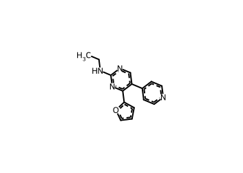 CCNc1ncc(-c2ccncc2)c(-c2ccco2)n1